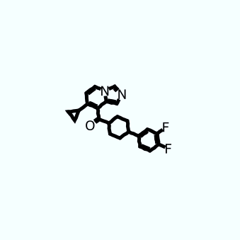 O=C(c1c(C2CC2)ccn2cncc12)C1CCC(c2ccc(F)c(F)c2)CC1